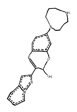 OC1Oc2cc(N3CCCNCC3)ccc2C=C1c1cc2ccccn2n1